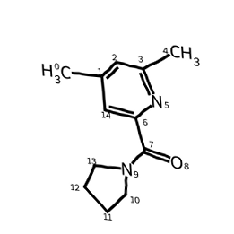 Cc1cc(C)nc(C(=O)N2CCCC2)c1